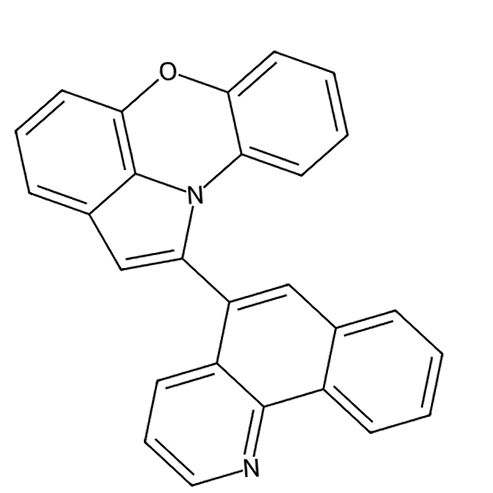 c1ccc2c(c1)Oc1cccc3cc(-c4cc5ccccc5c5ncccc45)n-2c13